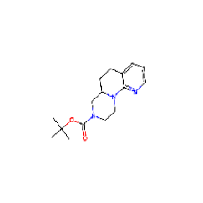 CC(C)(C)OC(=O)N1CCN2c3ncccc3CCC2C1